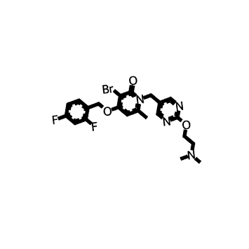 Cc1cc(OCc2ccc(F)cc2F)c(Br)c(=O)n1Cc1cnc(OCCN(C)C)nc1